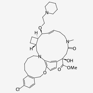 COC(=O)[C@@]1(O)CC(=O)N(C)CC/C=C/[C@H](OCCN2CCCCC2)[C@@H]2CC[C@H]2CN2CCCCc3cc(Cl)ccc3COc3ccc1cc32